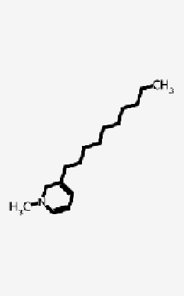 CCCCCCCCCCC1=CC=CN(C)C1